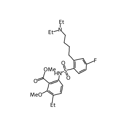 CCc1ccc(NS(=O)(=O)c2ccc(F)cc2CCCCN(CC)CC)c(C(=O)OC)c1OC